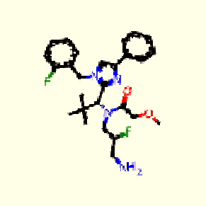 COCC(=O)N(CC(F)CN)[C@@H](c1nc(-c2ccccc2)cn1Cc1ccccc1F)C(C)(C)C